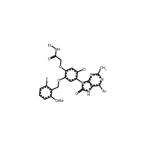 CCNC(=O)COc1cc(Cl)c(-n2c(=O)[nH]c3c(C(C)=O)nc(C)nc32)cc1OCc1c(F)cccc1OC